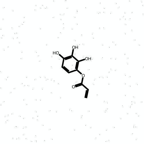 C=CC(=O)Oc1ccc(O)c(O)c1O